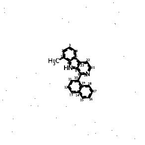 Cc1cccc2c1[nH]c1c(-c3cccc4ccccc34)nccc12